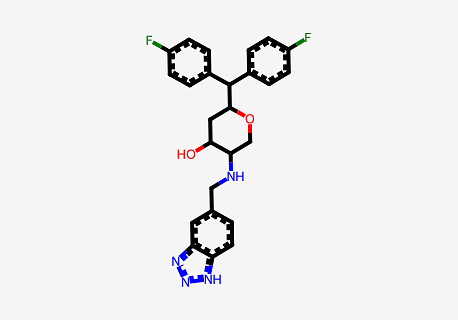 OC1CC(C(c2ccc(F)cc2)c2ccc(F)cc2)OCC1NCc1ccc2[nH]nnc2c1